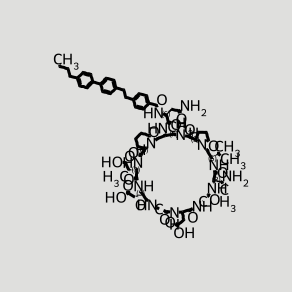 CCCCc1ccc(-c2ccc(CCc3ccc(C(=O)N[C@@H](CC(N)=O)C(=O)NC4C(=O)N5CCCC[C@@H]5C(=O)N[C@@H](C(C)C(=O)O)C(=O)N[C@@H](CC(=O)O)C(=O)NCC(=O)NC(CC(=O)O)C(=O)NCC(=O)N[C@H](C(C)N)C(=O)N[C@@H](C(C)C)C(=O)N5CCC[C@H]5C(=O)N[C@@H]4C)cc3)cc2)cc1